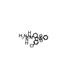 N=C(N)N/N=C1\CCCc2c1c1cc(Cl)ccc1n2S(=O)(=O)c1ccccc1